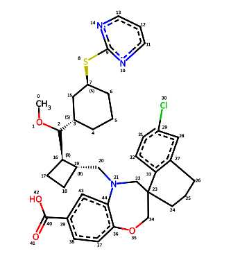 COC([C@H]1CCC[C@H](Sc2ncccn2)C1)[C@@H]1CC[C@H]1CN1CC2(CCCc3cc(Cl)ccc32)COc2ccc(C(=O)O)cc21